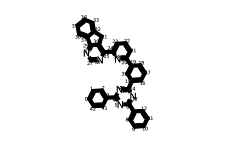 c1ccc(-c2nc(-c3ccccc3)nc(-c3cccc(-c4cccc(-c5ncnc6c5Cc5ccccc5-6)n4)c3)n2)cc1